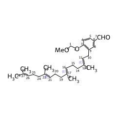 COCOc1ccc(C=O)cc1C/C=C(\C)CC/C=C(\C)CC/C=C(\C)CCC=C(C)C